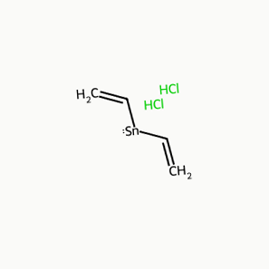 C=[CH][Sn][CH]=C.Cl.Cl